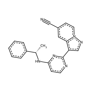 C[C@H](Nc1ccnc(-c2cnn3ccc(C#N)cc23)n1)c1ccccc1